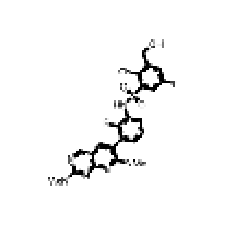 CNc1ncc2cc(-c3cccc(NS(=O)(=O)c4cc(F)cc(CO)c4Cl)c3F)c(NC)nc2n1